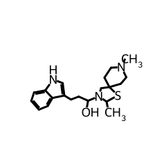 CC1SC2(CCN(C)CC2)CN1C(O)CCc1c[nH]c2ccccc12